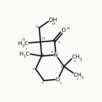 CC1(C)OCCC2(C)N1C(=O)C2(C)CO